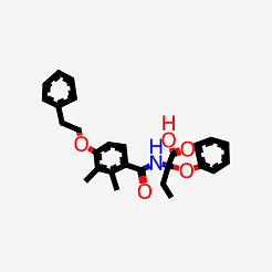 CCC(NC(=O)c1ccc(OCCc2ccccc2)c(C)c1C)(Oc1ccccc1)C(=O)O